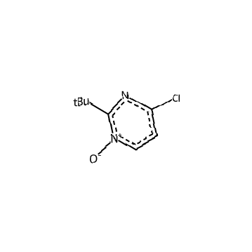 CC(C)(C)c1nc(Cl)cc[n+]1[O-]